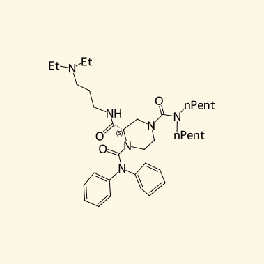 CCCCCN(CCCCC)C(=O)N1CCN(C(=O)N(c2ccccc2)c2ccccc2)[C@H](C(=O)NCCCN(CC)CC)C1